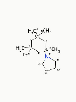 CCC1(C)CC(C)(C)CC(C)(N2CCCC2)C1